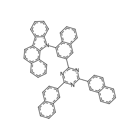 c1ccc2cc(-c3nc(-c4ccc5ccccc5c4)nc(-c4cc(-n5c6ccccc6c6ccc7ccccc7c65)c5ccccc5c4)n3)ccc2c1